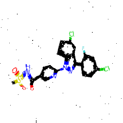 CS(=O)(=O)NC(=O)c1ccc(-n2nc(-c3ccc(Cl)cc3F)c3cc(Cl)ccc32)nc1